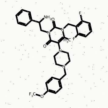 Cc1c(N2CCN(Cc3ccc(OC(F)(F)F)cc3)CC2)c(=O)n(CC(N)c2ccccc2)c(=O)n1Cc1c(F)cccc1F